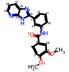 COc1ccc(C(=O)Nc2cccc(-c3nc4cccnc4[nH]3)c2)cc1OC